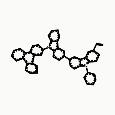 C=Cc1ccc2c(c1)c1cc(-c3ccc4c(c3)c3ccccc3n4-c3ccc4c5ccccc5c5ccccc5c4c3)ccc1n2-c1ccccc1